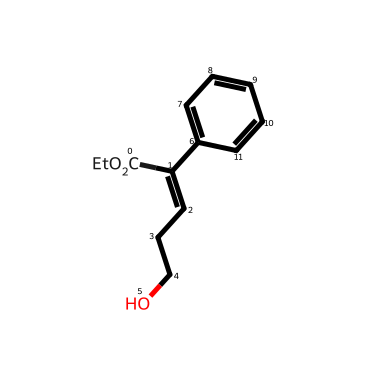 CCOC(=O)C(=CCCO)c1ccccc1